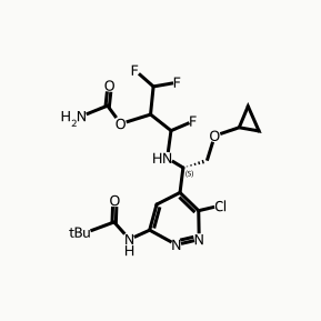 CC(C)(C)C(=O)Nc1cc([C@@H](COC2CC2)NC(F)C(OC(N)=O)C(F)F)c(Cl)nn1